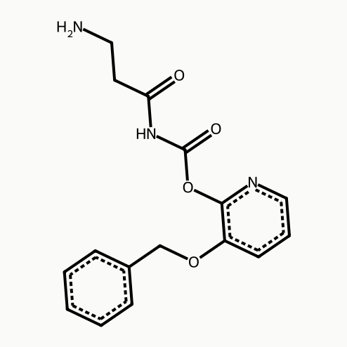 NCCC(=O)NC(=O)Oc1ncccc1OCc1ccccc1